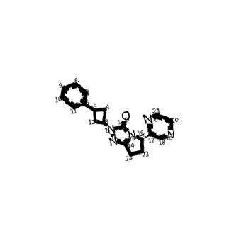 O=c1n(C2CC(c3ccccc3)C2)nc2n1[C@H](c1cnccn1)CC2